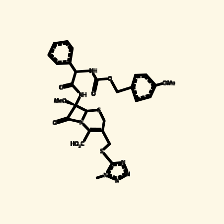 COc1ccc(COC(=O)NC(C(=O)N[C@@]2(OC)C(=O)N3C(C(=O)O)=C(CSc4nnnn4C)CSC32)c2ccccc2)cc1